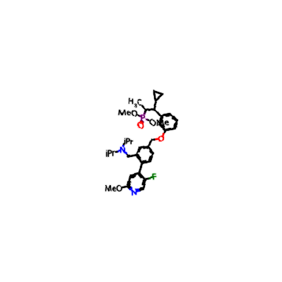 COc1cc(-c2ccc(COc3cccc(C(C4CC4)C(C)P(=O)(OC)OC)c3)cc2CN(C(C)C)C(C)C)c(F)cn1